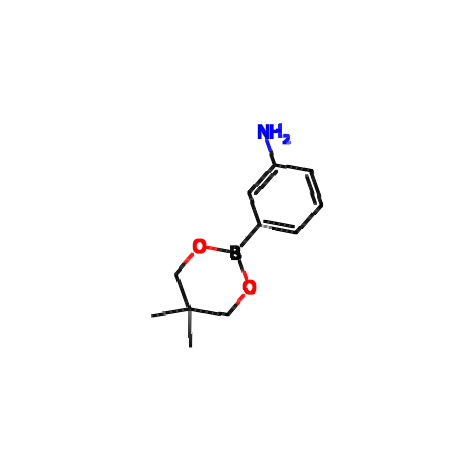 CC1(C)COB(c2cccc(N)c2)OC1